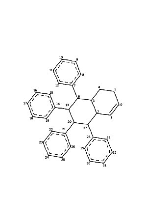 [C]1=CC2C(CC1)C(c1ccccc1)C(c1ccccc1)C(c1ccccc1)C2c1ccccc1